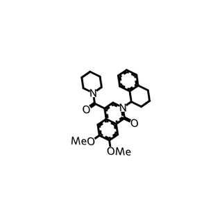 COc1cc2c(C(=O)N3CCCCC3)cn(C3CCCc4ccccc43)c(=O)c2cc1OC